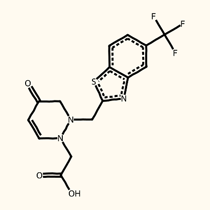 O=C(O)CN1C=CC(=O)CN1Cc1nc2cc(C(F)(F)F)ccc2s1